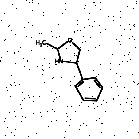 CC1NC(c2ccccc2)CO1